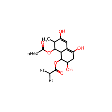 CCCCCCC(=O)OC1C(C)C(O)=CC2=C(O)CC(O)C(OC(=O)C(CC)CC)C21